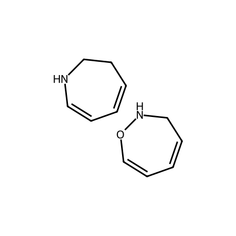 C1=CCCNC=C1.C1=CCNOC=C1